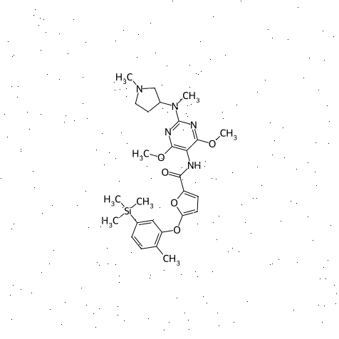 COc1nc(N(C)C2CCN(C)C2)nc(OC)c1NC(=O)c1ccc(Oc2cc([Si](C)(C)C)ccc2C)o1